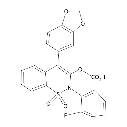 O=C(O)OC1=C(c2ccc3c(c2)OCO3)c2ccccc2S(=O)(=O)N1c1ccccc1F